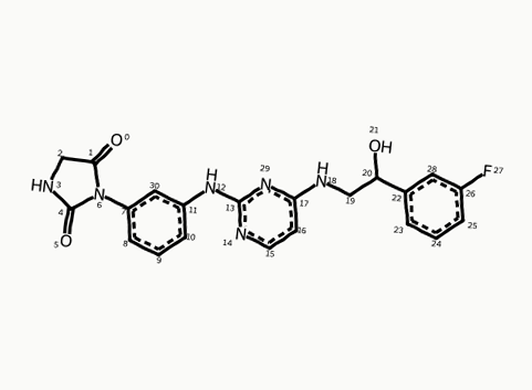 O=C1CNC(=O)N1c1cccc(Nc2nccc(NCC(O)c3cccc(F)c3)n2)c1